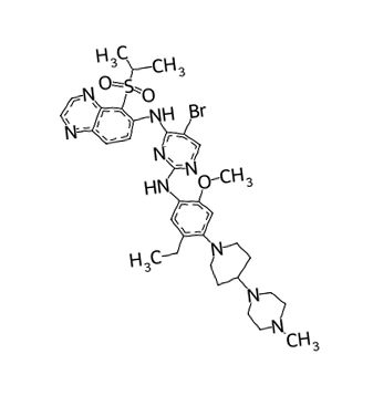 CCc1cc(Nc2ncc(Br)c(Nc3ccc4nccnc4c3S(=O)(=O)C(C)C)n2)c(OC)cc1N1CCC(N2CCN(C)CC2)CC1